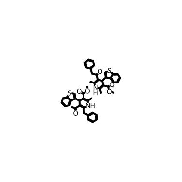 COC(=O)C1=C(C)NC(C)=C(C(=O)Cc2ccccc2)C1c1csc2ccccc12.COC(=O)C1=C(C)NC(Cc2ccccc2)=C(C(C)=O)C1c1csc2ccccc12